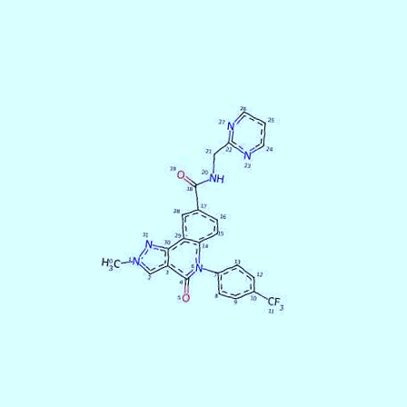 Cn1cc2c(=O)n(-c3ccc(C(F)(F)F)cc3)c3ccc(C(=O)NCc4ncccn4)cc3c2n1